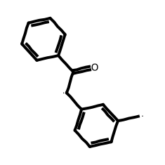 [CH2]c1cccc([CH]C(=O)c2ccccc2)c1